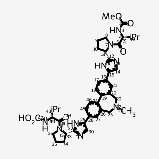 COC(=O)N[C@H](C(=O)N1CCC[C@H]1c1ncc(-c2ccc3c(c2)CN(C)Cc2cc(-c4cnc([C@@H]5CCCN5C(=O)[C@@H](NC(=O)O)C(C)C)[nH]4)ccc2-3)[nH]1)C(C)C